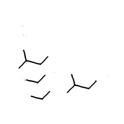 NCC(=O)[O-].NCC(=O)[O-].O=C([O-])CC(O)C(=O)[O-].O=C([O-])CC(O)C(=O)[O-].[Mn+2].[Mn+2].[Mn+2]